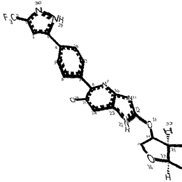 FC(F)(F)c1cc(-c2ccc(-c3nc4nc(OC5CO[C@@H]6CCO[C@H]56)[nH]c4cc3Cl)cc2)[nH]n1